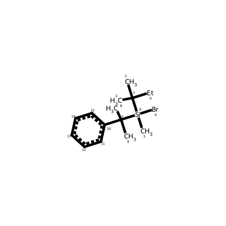 CCC(C)(C)[Si](C)(Br)C(C)(C)c1ccccc1